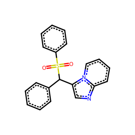 O=S(=O)(c1ccccc1)C(c1ccccc1)c1cnc2ccccn12